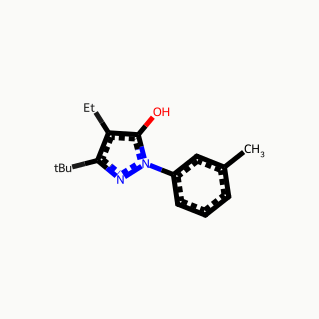 CCc1c(C(C)(C)C)nn(-c2cccc(C)c2)c1O